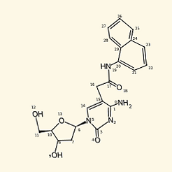 Nc1nc(=O)n([C@H]2CC(O)[C@@H](CO)O2)cc1CC(=O)Nc1cccc2ccccc12